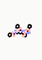 CCC(NC(=O)Oc1ccccc1)OC(=O)C(CCCNC(=O)Oc1ccccc1)NC(=O)Oc1ccccc1